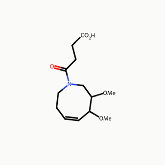 COC1/C=C\CCN(C(=O)CCC(=O)O)CC1OC